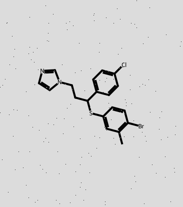 Cc1cc(SC(CCn2ccnc2)c2ccc(Cl)cc2)ccc1Br